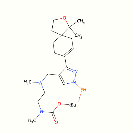 CN(CCN(C)C(=O)OC(C)(C)C)Cc1cn(PI)nc1C1=CCC2(CCOC2(C)C)CC1